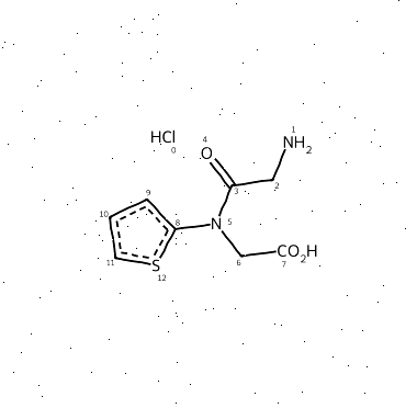 Cl.NCC(=O)N(CC(=O)O)c1cccs1